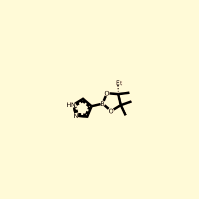 CC[C@@]1(C)OB(c2cn[nH]c2)OC1(C)C